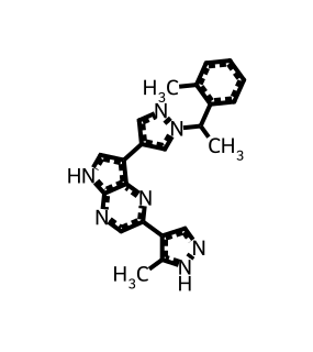 Cc1ccccc1C(C)n1cc(-c2c[nH]c3ncc(-c4cn[nH]c4C)nc23)cn1